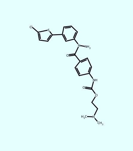 CN(C)CCOC(=O)Nc1ccc(C(=O)N(N)c2cccc(-c3ccc(Cl)s3)c2)cc1